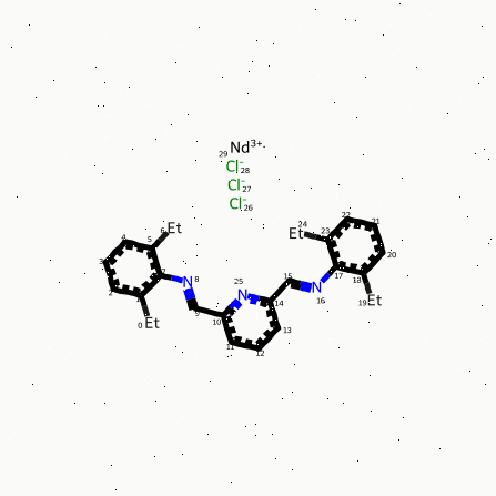 CCc1cccc(CC)c1N=Cc1cccc(C=Nc2c(CC)cccc2CC)n1.[Cl-].[Cl-].[Cl-].[Nd+3]